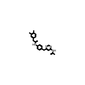 C=C(C)Nc1cc(Cc2ccc(NC(=C)Cc3ccc(C)c(C)c3)cc2)ncn1